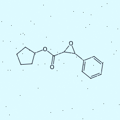 O=C(OC1CCCC1)C1OC1c1ccccc1